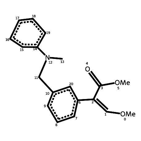 COC=C(C(=O)OC)c1cccc(CN(C)c2ccccc2)c1